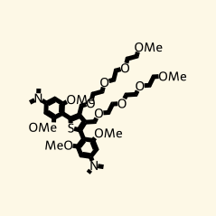 COCCOCCOCCOCc1c(-c2c(OC)cc(N(C)C)cc2OC)sc(-c2c(OC)cc(N(C)C)cc2OC)c1COCCOCCOCCOC